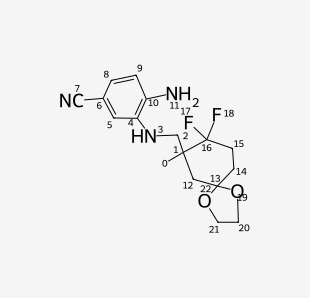 CC1(CNc2cc(C#N)ccc2N)CC2(CCC1(F)F)OCCO2